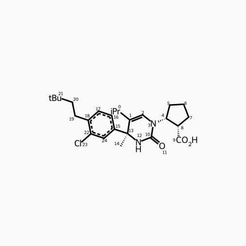 CC(C)C1=CN([C@@H]2CCC[C@@H]2C(=O)O)C(=O)N[C@@]1(C)c1ccc(CCC(C)(C)C)c(Cl)c1